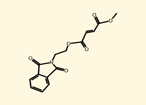 COC(=O)C=CC(=O)OCCN1C(=O)c2ccccc2C1=O